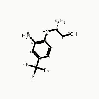 C[C@H](CO)Nc1ccc(C(F)(F)F)cc1N